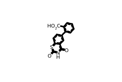 O=C(O)c1ccccc1-c1ccc2sc(=O)[nH]c(=O)c2c1